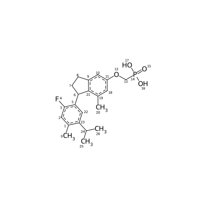 Cc1cc(F)c(C2CCc3cc(OCP(=O)(O)O)cc(C)c32)cc1C(C)C